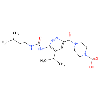 CC(C)CCNC(=O)Nc1nnc(C(=O)N2CCN(C(=O)O)CC2)cc1C(C)C